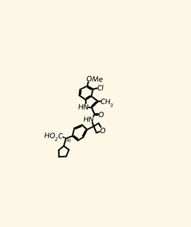 COc1ccc2[nH]c(C(=O)NC3(c4ccc([C@H](C(=O)O)C5CCCC5)cc4)COC3)c(C)c2c1Cl